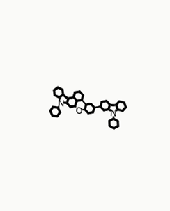 c1ccc(-n2c3ccccc3c3ccc(-c4ccc5c(c4)-c4cccc6c4c(cc4c6c6ccccc6n4-c4ccccc4)O5)cc32)cc1